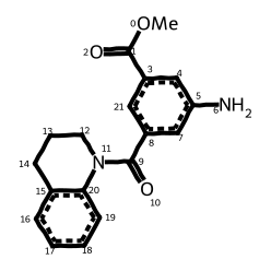 COC(=O)c1cc(N)cc(C(=O)N2CCCc3ccccc32)c1